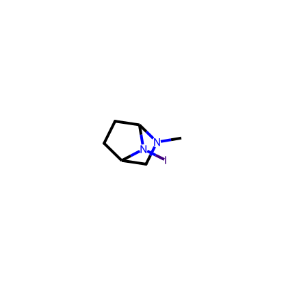 CN1CC2CCC1N2I